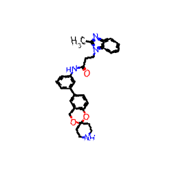 Cc1nc2ccccc2n1CCC(=O)Nc1cccc(-c2ccc3c(c2)COC2(CCNCC2)O3)c1